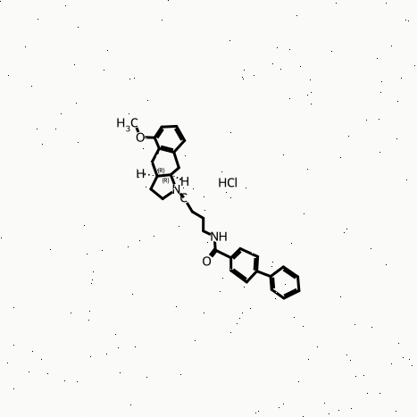 COc1cccc2c1C[C@@H]1CCN(CCCCNC(=O)c3ccc(-c4ccccc4)cc3)[C@@H]1C2.Cl